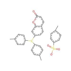 Cc1ccc(S(=O)(=O)[O-])cc1.Cc1ccc([S+](c2ccc(C)cc2)c2ccc3ccc(=O)oc3c2)cc1